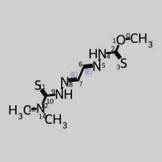 COC(=S)N/N=C/C=N/NC(=S)N(C)C